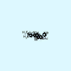 C=CC[N+]1(C)CCN(C2C[C@H]3[C@@H]4CCC5CC(OC(C)=O)C(N6CCC(=O)CC6)C[C@]5(C)[C@@H]4CC[C@]3(C)C2OC(C)=O)CC1.[Br-]